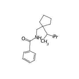 CC(C)C(C)C1(CNC(=O)c2ccccc2)CCCC1